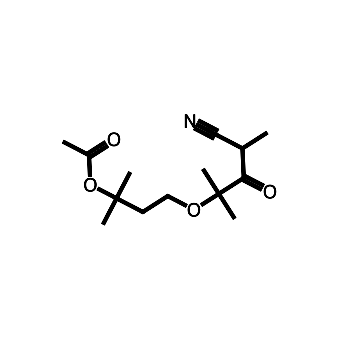 CC(=O)OC(C)(C)CCOC(C)(C)C(=O)C(C)C#N